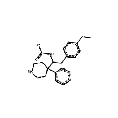 COc1ccc(CC(NC(=O)O)C2(c3ccccc3)CCNCC2)cc1